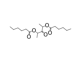 CCCCCC(=O)OC(C)C(=O)C(C)OC(=O)CCCCC